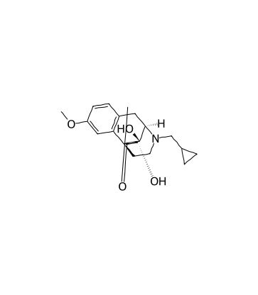 COc1ccc2c(c1)[C@]13CCN(CC4CC4)[C@H](C2)[C@]1(O)C[C@H](O)C(=O)C3